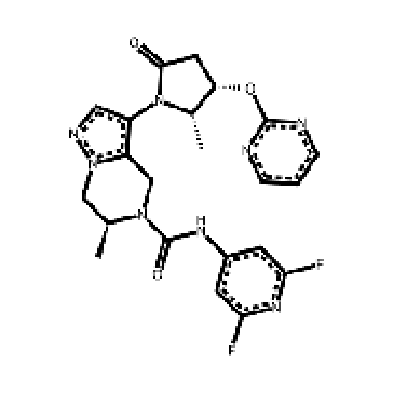 C[C@H]1Cn2ncc(N3C(=O)C[C@H](Oc4ncccn4)[C@@H]3C)c2CN1C(=O)Nc1cc(F)nc(F)c1